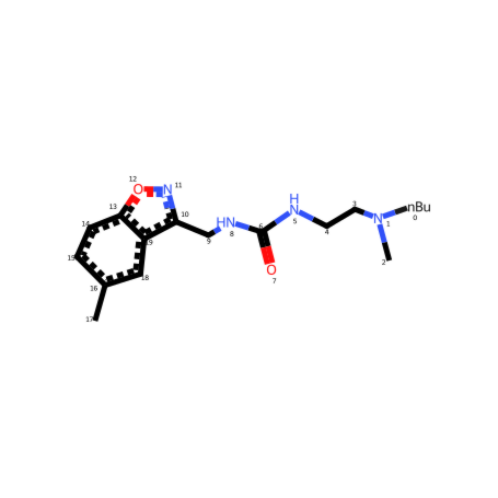 CCCCN(C)CCNC(=O)NCc1noc2ccc(C)cc12